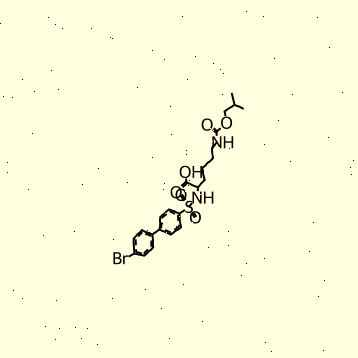 CC(C)COC(=O)NCCCCC(NS(=O)(=O)c1ccc(-c2ccc(Br)cc2)cc1)C(=O)O